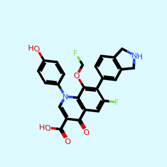 O=C(O)c1cn(-c2ccc(O)cc2)c2c(OCF)c(-c3ccc4c(c3)CNC4)c(F)cc2c1=O